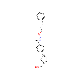 C/C(=N\OCCCc1ccccc1)c1ccc([C@@H]2CC[C@H](CO)C2)cc1